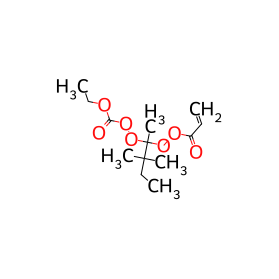 C=CC(=O)OOC(C)(OOC(=O)OCC)C(C)(C)CC